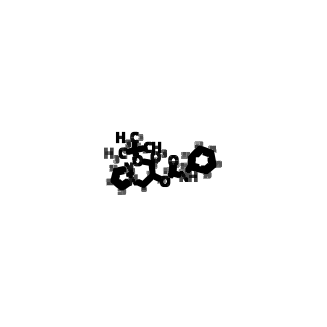 CC(C)(C)OC(=O)C(Cn1cccn1)OC(=O)Nc1ccccc1